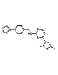 Cc1nn(C)cc1-c1ccnc(NCc2ccc(-n3cccn3)cc2)n1